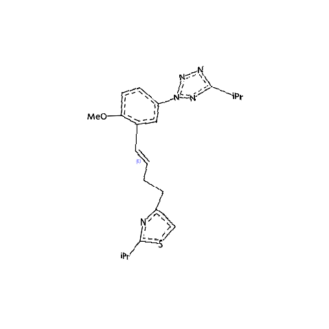 COc1ccc(-n2nnc(C(C)C)n2)cc1/C=C/CCc1csc(C(C)C)n1